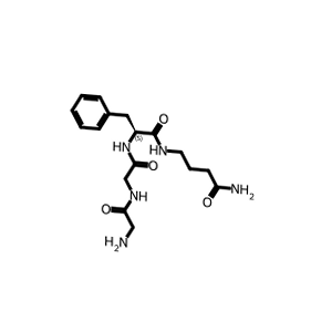 NCC(=O)NCC(=O)N[C@@H](Cc1ccccc1)C(=O)NCCCC(N)=O